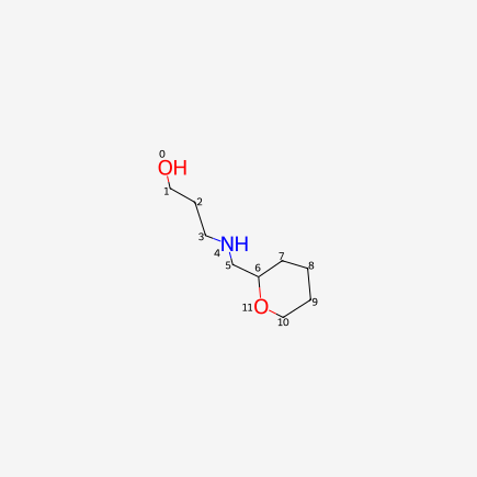 OCCCNCC1CCCCO1